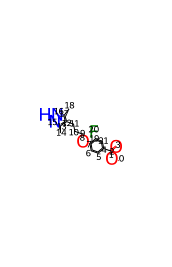 COC(=O)c1ccc(OCCCc2c(C)n[nH]c2C)c(F)c1